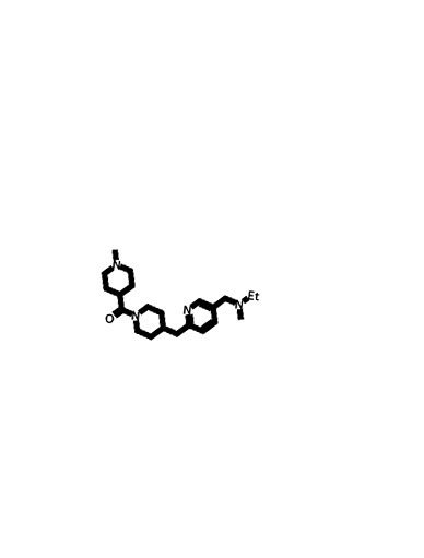 CCN(C)Cc1ccc(CC2CCN(C(=O)C3CCN(C)CC3)CC2)nc1